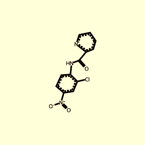 O=C(Nc1ccc([N+](=O)[O-])cc1Cl)c1ccccn1